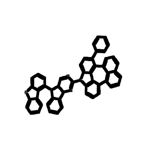 C1=NC(n2c3cccc4c3c3c(c(-c5ccccc5)ccc32)-c2cccc3cccc-4c23)=NC2c3ccccc3N(c3cccc4oc5ccccc5c34)C12